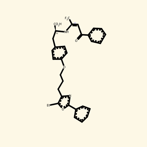 CCc1oc(-c2ccccc2)nc1CCCOc1ccc(C[C@H](N/C(=C\C(=O)c2ccccc2)C(F)(F)F)C(=O)O)cc1